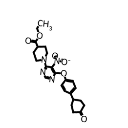 CCOC(=O)C1CCN(c2ncnc(Oc3ccc(C4CCC(=O)CC4)cc3)c2[N+](=O)[O-])CC1